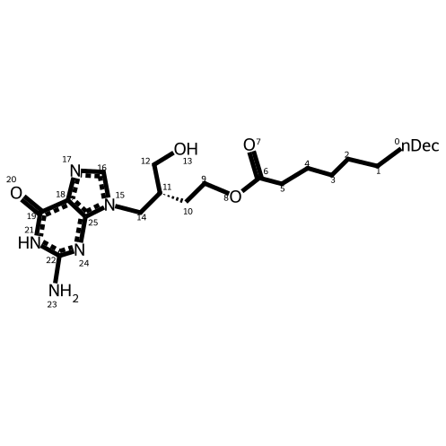 CCCCCCCCCCCCCCCC(=O)OCC[C@@H](CO)Cn1cnc2c(=O)[nH]c(N)nc21